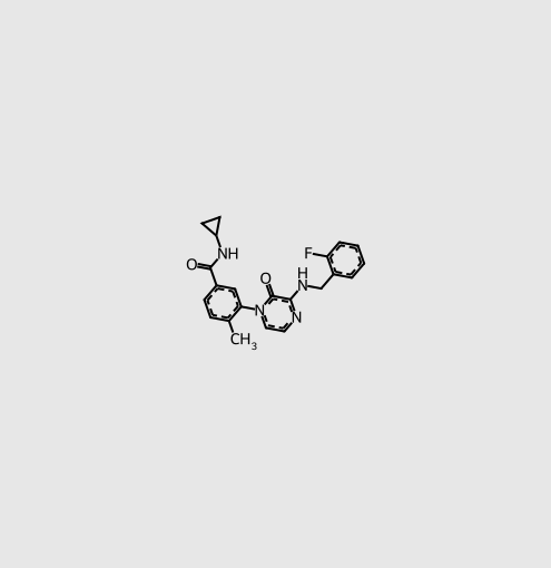 Cc1ccc(C(=O)NC2CC2)cc1-n1ccnc(NCc2ccccc2F)c1=O